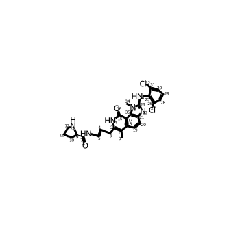 Cc1c(CC=CNC(=O)[C@H]2CCCN2)[nH]c(=O)c2c1ccc1nc(Nc3c(Cl)cccc3Cl)n(C)c12